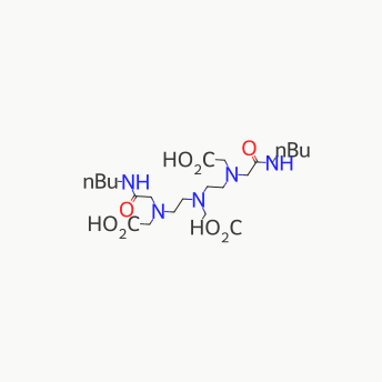 CCCCNC(=O)CN(CCN(CCN(CC(=O)O)CC(=O)NCCCC)CC(=O)O)CC(=O)O